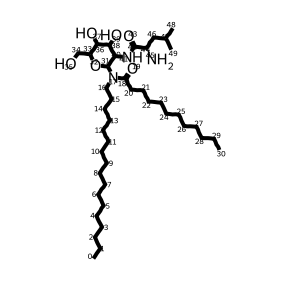 CCCCCCCCCCCCCCCCCN(C(=O)CCCCCCCCCCC)C1OC(CO)C(O)C(O)C1NC(=O)[C@@H](N)CC(C)C